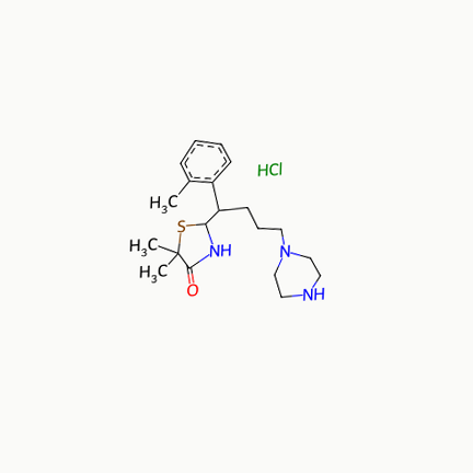 Cc1ccccc1C(CCCN1CCNCC1)C1NC(=O)C(C)(C)S1.Cl